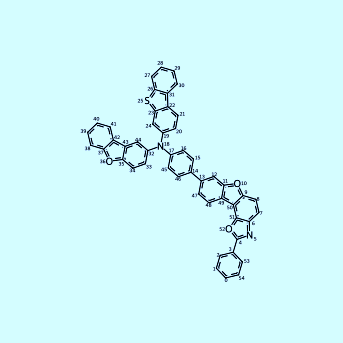 c1ccc(-c2nc3ccc4oc5cc(-c6ccc(N(c7ccc8c(c7)sc7ccccc78)c7ccc8oc9ccccc9c8c7)cc6)ccc5c4c3o2)cc1